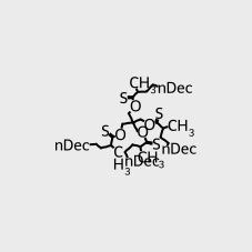 CCCCCCCCCCCCC(C)C(=S)OCC(COC(=S)C(C)CCCCCCCCCCCC)(COC(=S)C(C)CCCCCCCCCCCC)COC(=S)C(C)CCCCCCCCCCCC